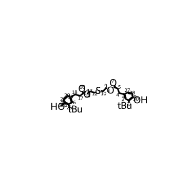 CC(C)(C)c1cc(CCC(=O)OCCSCCOC(=O)CCc2ccc(O)c(C(C)(C)C)c2)ccc1O